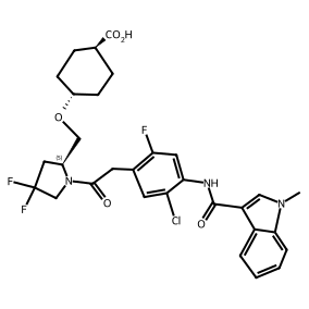 Cn1cc(C(=O)Nc2cc(F)c(CC(=O)N3CC(F)(F)C[C@H]3CO[C@H]3CC[C@H](C(=O)O)CC3)cc2Cl)c2ccccc21